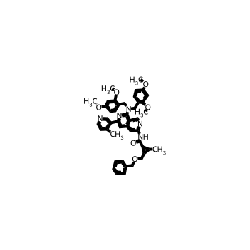 COc1ccc(CN(Cc2ccc(OC)cc2OC)c2nc(-c3cnccc3C)cc3cc(NC(=O)C4C(C)C4COCc4ccccc4)ncc23)c(OC)c1